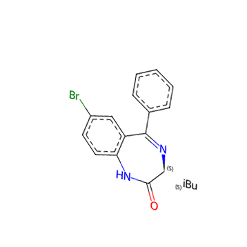 CC[C@H](C)[C@@H]1N=C(c2ccccc2)c2cc(Br)ccc2NC1=O